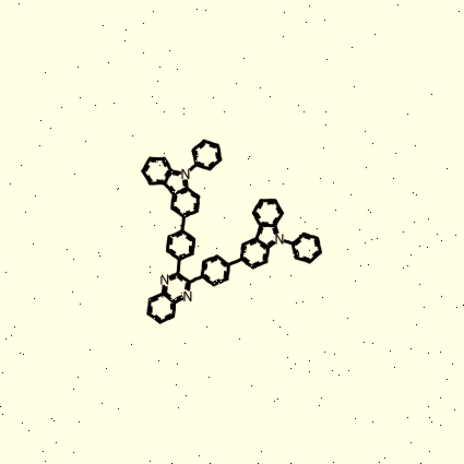 c1ccc(-n2c3ccccc3c3cc(-c4ccc(-c5nc6ccccc6nc5-c5ccc(-c6ccc7c(c6)c6ccccc6n7-c6ccccc6)cc5)cc4)ccc32)cc1